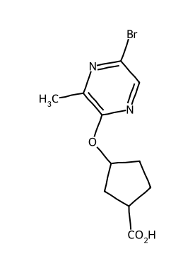 Cc1nc(Br)cnc1OC1CCC(C(=O)O)C1